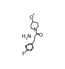 COC1CCN(C(=O)[C@@H](N)Cc2ccc(F)cc2)CC1